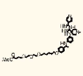 COC(=O)CCCOCCOCCOCCCCCCOc1ccc(C(C)Nc2cccc(NC3(C(=N)NC(=N)c4ccncc4)CCN(C)CC3)c2)cc1